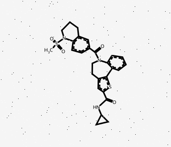 CS(=O)(=O)N1CCCc2cc(C(=O)N3CCc4cc(C(=O)NC5CC5)sc4-c4ccccc43)ccc21